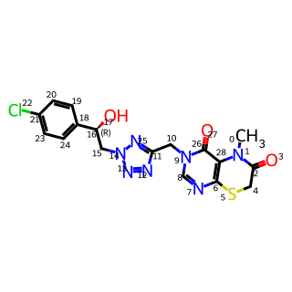 CN1C(=O)CSc2ncn(Cc3nnn(C[C@H](O)c4ccc(Cl)cc4)n3)c(=O)c21